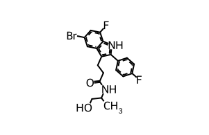 CC(CO)NC(=O)CCc1c(-c2ccc(F)cc2)[nH]c2c(F)cc(Br)cc12